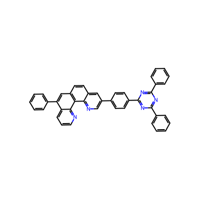 c1ccc(-c2nc(-c3ccccc3)nc(-c3ccc(-c4cnc5c(ccc6cc(-c7ccccc7)c7cccnc7c65)c4)cc3)n2)cc1